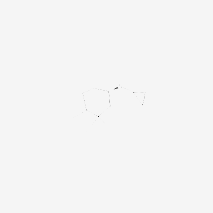 CCC1CC[C@@H](NC2CC2)CC1(C)C